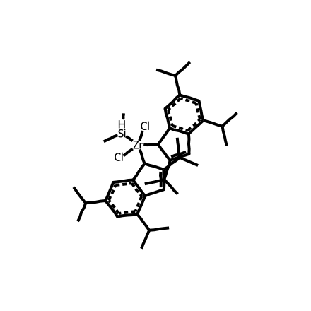 CC(C)C1=Cc2c(C(C)C)cc(C(C)C)cc2[CH]1[Zr]([Cl])([Cl])([CH]1C(C(C)C)=Cc2c(C(C)C)cc(C(C)C)cc21)[SiH](C)C